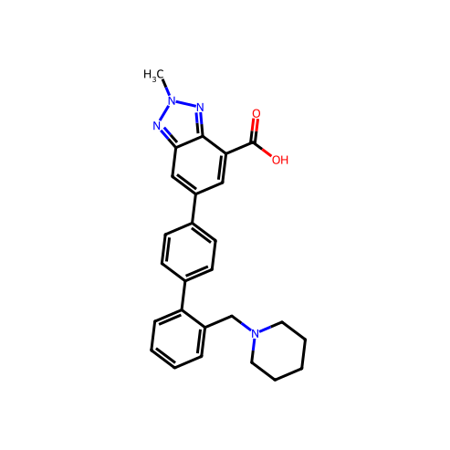 Cn1nc2cc(-c3ccc(-c4ccccc4CN4CCCCC4)cc3)cc(C(=O)O)c2n1